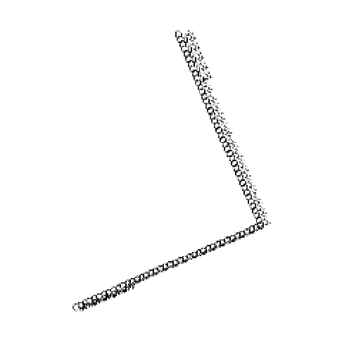 [Cu+2].[Cu+2].[Cu+2].[Cu+2].[Cu+2].[Cu+2].[Cu+2].[Cu+2].[Cu+2].[Cu+2].[Cu+2].[Cu+2].[Cu+2].[Cu+2].[Cu+2].[Cu+2].[Cu+2].[Cu+2].[Cu+2].[Cu+2].[O-2].[O-2].[O-2].[O-2].[O-2].[O-2].[O-2].[O-2].[O-2].[O-2].[O-2].[O-2].[O-2].[O-2].[O-2].[O-2].[O-2].[O-2].[O-2].[O-2].[O-2].[O-2].[O-2].[O-2].[O-2].[O-2].[O-2].[O-2].[O-2].[O-2].[O-2].[O-2].[O-2].[O-2].[O-2].[O-2].[O-2].[O-2].[O-2].[O-2].[O-2].[O-2].[O-2].[O-2].[O-2].[O-2].[O-2].[O-2].[O-2].[O-2].[O-2].[O-2].[O-2].[O-2].[O-2].[O-2].[O-2].[O-2].[O-2].[O-2]